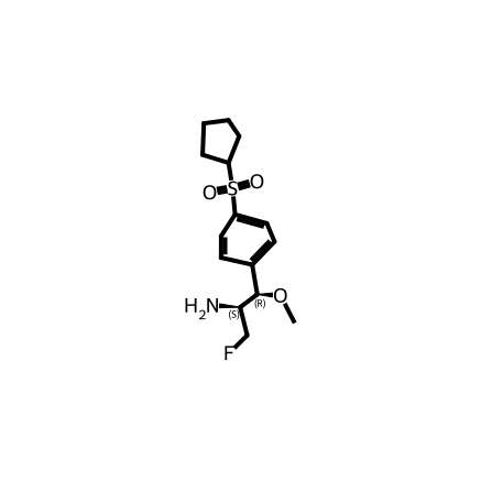 CO[C@H](c1ccc(S(=O)(=O)C2CCCC2)cc1)[C@H](N)CF